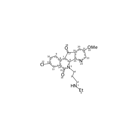 CCNCCCn1c2c(c3ccc(Cl)cc3c1=O)C(=O)c1cc(OC)cnc1-2